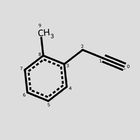 [C]#CCc1ccccc1C